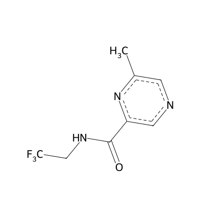 Cc1cncc(C(=O)NCC(F)(F)F)n1